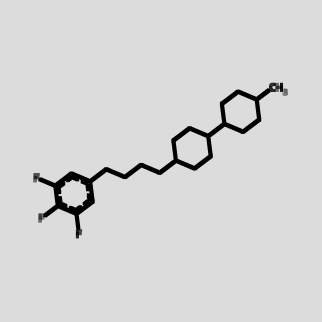 CC1CCC(C2CCC(CCCCc3cc(F)c(F)c(F)c3)CC2)CC1